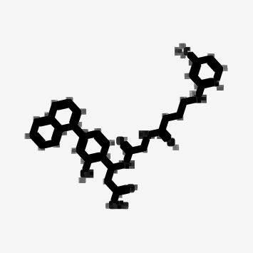 COC(=O)CC(NC(=O)CNC(=O)CCCNc1cc(C)ccn1)c1ccc(-c2cccc3ccccc23)cc1O